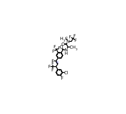 CC(NC(=O)c1ccc(/C(F)=C/C(c2ccc(F)c(Cl)c2)C(F)(F)F)cc1C(F)(F)F)C(=O)N(C)CC(F)(F)F